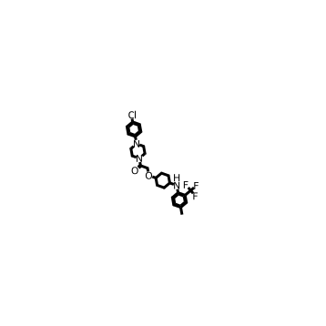 Cc1ccc(NC2CCC(OCC(=O)N3CCN(c4ccc(Cl)cc4)CC3)CC2)c(C(F)(F)F)c1